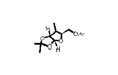 CC(=O)OC[C@H]1O[C@@H]2OC(C)(C)O[C@@H]2C1C